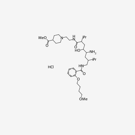 COCCCCOc1ccccc1C(=O)NCC(CC(N)C(O)CC(C(=O)NCCN1CCC(C(=O)OC)CC1)C(C)C)C(C)C.Cl